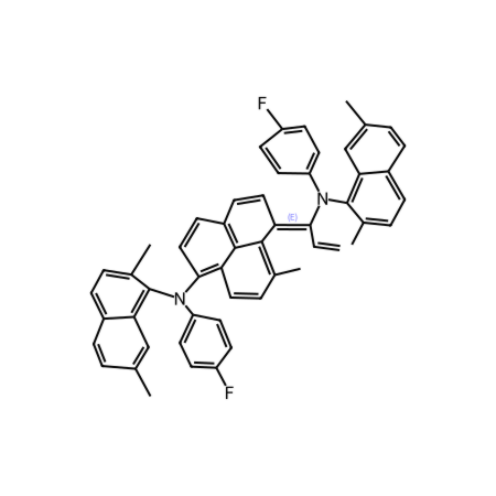 C=C/C(=c1/ccc2ccc(N(c3ccc(F)cc3)c3c(C)ccc4ccc(C)cc34)c3ccc(C)c1c23)N(c1ccc(F)cc1)c1c(C)ccc2ccc(C)cc12